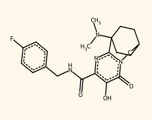 CN(C)C12CCC(CC1)Cn1c2nc(C(=O)NCc2ccc(F)cc2)c(O)c1=O